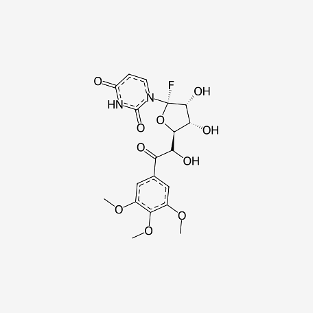 COc1cc(C(=O)C(O)[C@H]2O[C@@](F)(n3ccc(=O)[nH]c3=O)[C@H](O)[C@@H]2O)cc(OC)c1OC